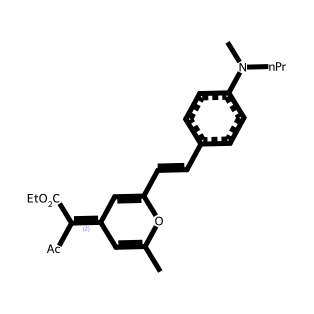 CCCN(C)c1ccc(C=CC2=C/C(=C(/C(C)=O)C(=O)OCC)C=C(C)O2)cc1